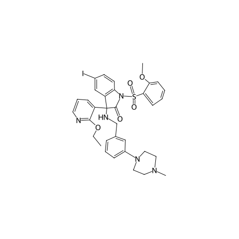 CCOc1ncccc1C1(NCc2cccc(N3CCN(C)CC3)c2)C(=O)N(S(=O)(=O)c2ccccc2OC)c2ccc(I)cc21